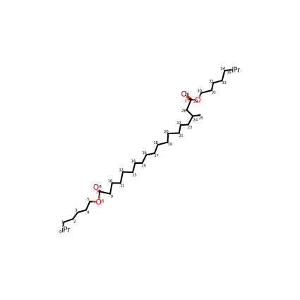 CC(C)CCCCCOC(=O)CCCCCCCCCCCCCCCC(C)CC(=O)OCCCCCC(C)C